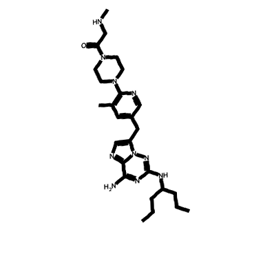 CCCC(CCC)Nc1nc(N)c2ncc(Cc3cnc(N4CCN(C(=O)CNC)CC4)c(C)c3)n2n1